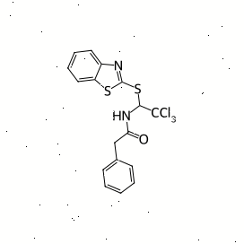 O=C(Cc1ccccc1)NC(Sc1nc2ccccc2s1)C(Cl)(Cl)Cl